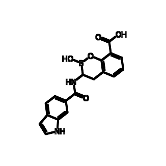 O=C(NC1Cc2cccc(C(=O)O)c2OB1O)c1ccc2cc[nH]c2c1